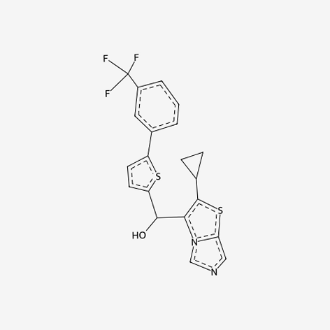 OC(c1ccc(-c2cccc(C(F)(F)F)c2)s1)c1c(C2CC2)sc2cncn12